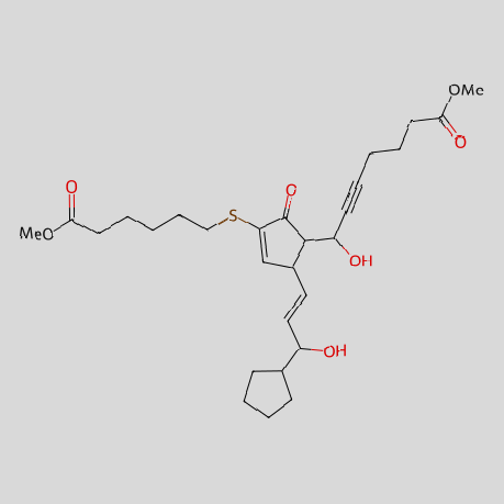 COC(=O)CCCC#CC(O)C1C(=O)C(SCCCCCC(=O)OC)=CC1/C=C/C(O)C1CCCC1